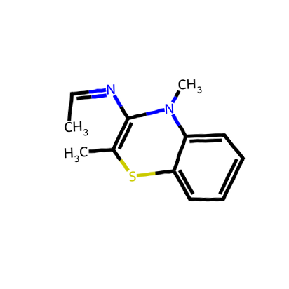 C/C=N\C1=C(C)Sc2ccccc2N1C